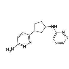 Nc1ccc(C2CC[C@@H](Nc3cccnn3)C2)nn1